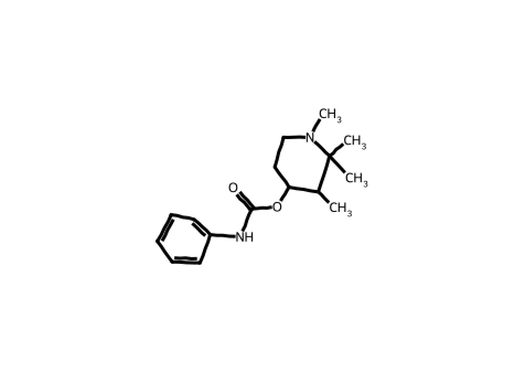 CC1C(OC(=O)Nc2ccccc2)CCN(C)C1(C)C